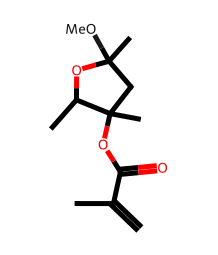 C=C(C)C(=O)OC1(C)CC(C)(OC)OC1C